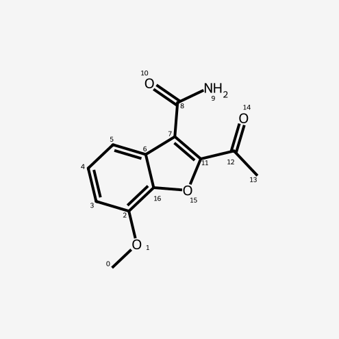 COc1cccc2c(C(N)=O)c(C(C)=O)oc12